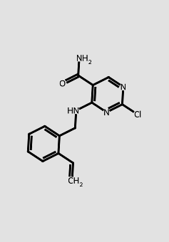 C=Cc1ccccc1CNc1nc(Cl)ncc1C(N)=O